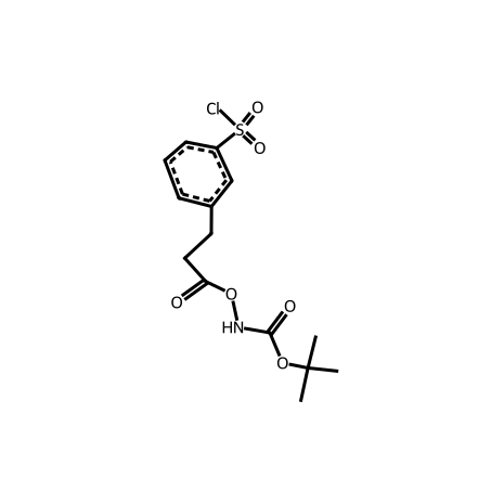 CC(C)(C)OC(=O)NOC(=O)CCc1cccc(S(=O)(=O)Cl)c1